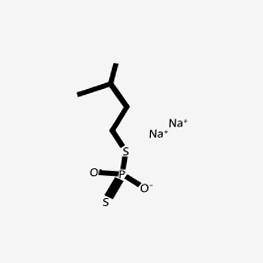 CC(C)CCSP([O-])([O-])=S.[Na+].[Na+]